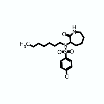 CCCCCCCN(C1CCCCNC1=O)S(=O)(=O)c1ccc(Cl)cc1